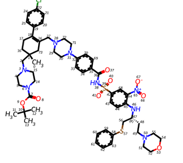 CC1(CN2CCN(C(=O)OC(C)(C)C)CC2)CCC(c2ccc(Cl)cc2)=C(CN2CCN(c3ccc(C(=O)NS(=O)(=O)c4ccc(N[C@H](CCN5CCOCC5)CSc5ccccc5)c([N+](=O)[O-])c4)cc3)CC2)C1